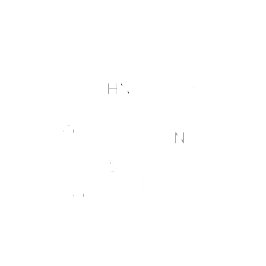 O=S(=O)(Cl)c1ncc[nH]1